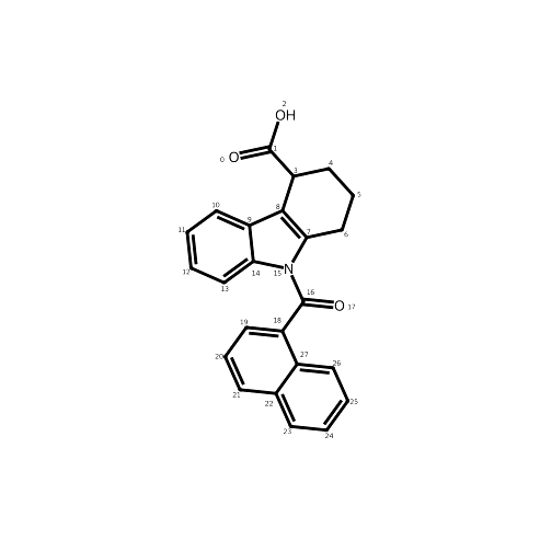 O=C(O)C1CCCc2c1c1ccccc1n2C(=O)c1cccc2ccccc12